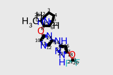 C[C@H]1[C@H]2CC[C@@H](C[C@H]1Oc1cncc(Nc3cc(OC(F)F)[nH]n3)n1)N2